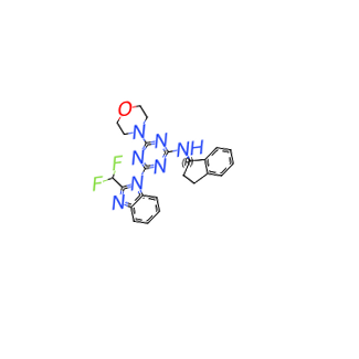 FC(F)c1nc2ccccc2n1-c1nc(N[C@@H]2CCc3ccccc32)nc(N2CCOCC2)n1